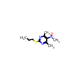 CCCSc1nc(C)c([N+](C)=O)c(C)n1